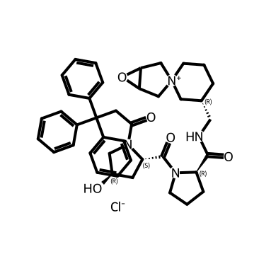 O=C(NC[C@H]1CCC[N+]2(CC3OC3C2)C1)[C@H]1CCCN1C(=O)[C@@H]1C[C@@H](O)CN1C(=O)CC(c1ccccc1)(c1ccccc1)c1ccccc1.[Cl-]